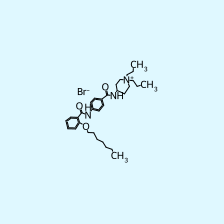 CCCCCCCOc1ccccc1C(=O)Nc1ccc(C(=O)NC2CC[N+](CCC)(CCC)CC2)cc1.[Br-]